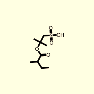 CCC(C)C(=O)OC(C)(C)CS(=O)(=O)O